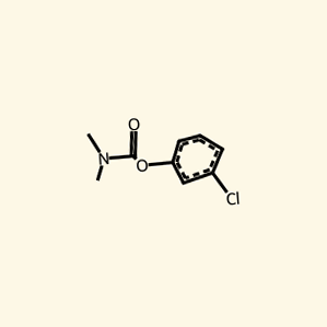 CN(C)C(=O)Oc1cccc(Cl)c1